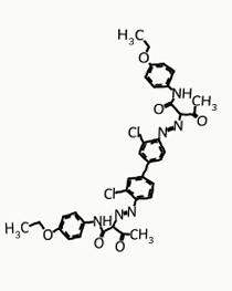 CCOc1ccc(NC(=O)C(N=Nc2ccc(-c3ccc(N=NC(C(C)=O)C(=O)Nc4ccc(OCC)cc4)c(Cl)c3)cc2Cl)C(C)=O)cc1